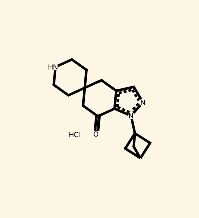 Cl.O=C1CC2(CCNCC2)Cc2cnn(C34CC(C3)C4)c21